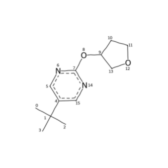 CC(C)(C)c1cnc(OC2CCOC2)nc1